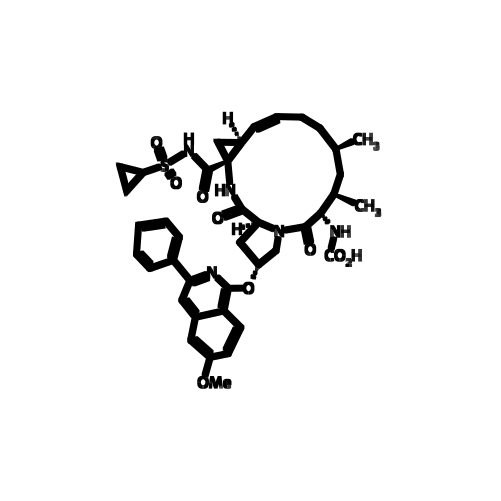 COc1ccc2c(O[C@@H]3C[C@H]4C(=O)N[C@]5(C(=O)NS(=O)(=O)C6CC6)C[C@H]5C=CCC[C@@H](C)C[C@@H](C)[C@H](NC(=O)O)C(=O)N4C3)nc(-c3ccccc3)cc2c1